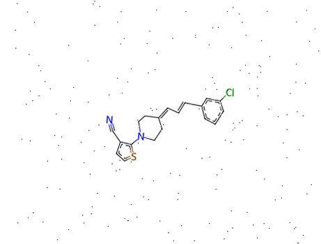 N#Cc1ccsc1N1CCC(=CC=Cc2cccc(Cl)c2)CC1